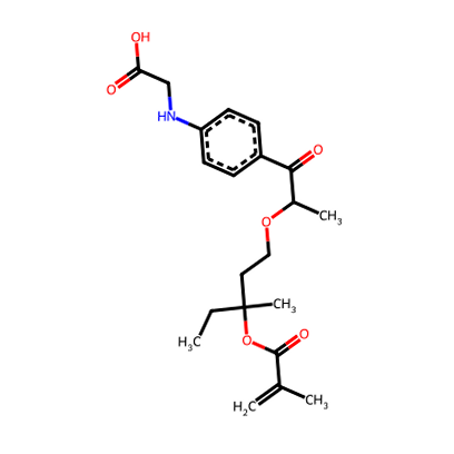 C=C(C)C(=O)OC(C)(CC)CCOC(C)C(=O)c1ccc(NCC(=O)O)cc1